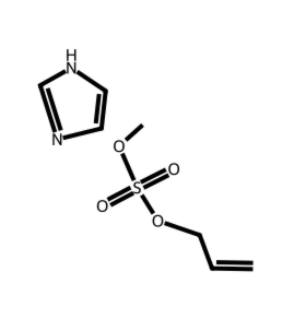 C=CCOS(=O)(=O)OC.c1c[nH]cn1